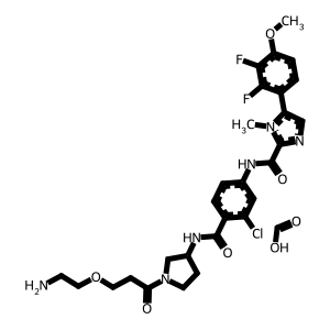 COc1ccc(-c2cnc(C(=O)Nc3ccc(C(=O)NC4CCN(C(=O)CCOCCN)C4)c(Cl)c3)n2C)c(F)c1F.O=CO